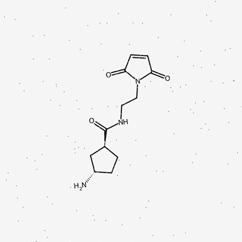 N[C@H]1CC[C@H](C(=O)NCCN2C(=O)C=CC2=O)C1